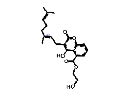 CC(C)=CCC/C(C)=C/Cc1c(O)c2c(C(=O)OCCO)cccc2oc1=O